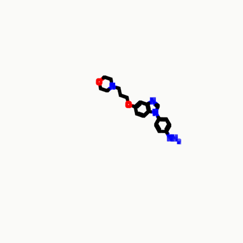 Nc1ccc(-n2cnc3cc(OCCCN4CCOCC4)ccc32)cc1